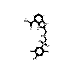 Cc1cc(S(=O)(=O)CNCc2nc3cccc(C(=O)O)c3[nH]2)c(C)cc1Cl